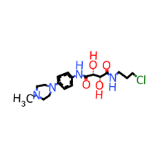 CN1CCN(c2ccc(NC(=O)[C@H](O)[C@@H](O)C(=O)NCCCCl)cc2)CC1